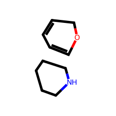 C1=CCOC=C1.C1CCNCC1